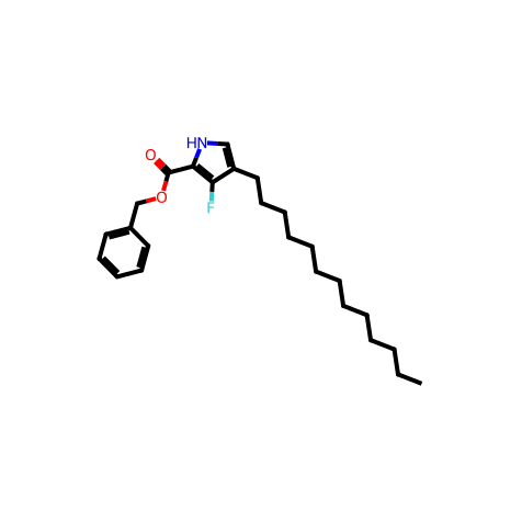 CCCCCCCCCCCCCc1c[nH]c(C(=O)OCc2ccccc2)c1F